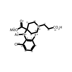 COC(=O)C1(N(C(C)=O)c2c(F)cccc2Cl)CCN(CCC(=O)O)CC1